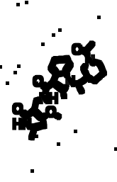 COc1cc(C)[nH]c(=O)c1CNC(=O)c1c(C)n(C(C)C2CCCN(C(C)=O)C2)c2ccccc12